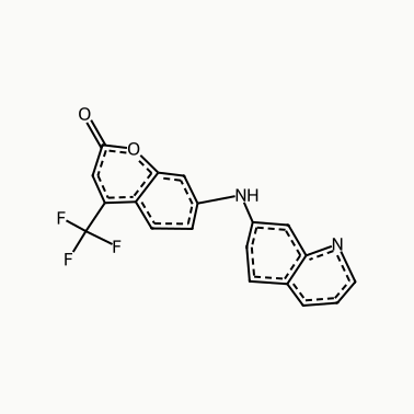 O=c1cc(C(F)(F)F)c2ccc(Nc3ccc4cccnc4c3)cc2o1